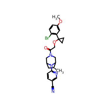 COc1ccc(Br)c(C2(OCC(=O)N3CC4C[C@H](C)C(C3)N4c3ccc(C#N)cn3)CC2)c1